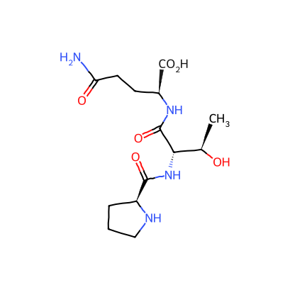 C[C@@H](O)[C@H](NC(=O)[C@@H]1CCCN1)C(=O)N[C@@H](CCC(N)=O)C(=O)O